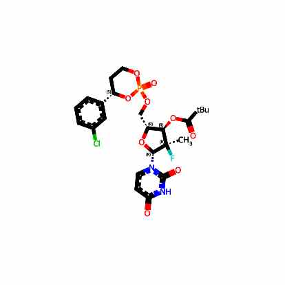 CC(C)(C)C(=O)O[C@@H]1[C@@H](COP2(=O)OCC[C@@H](c3cccc(Cl)c3)O2)O[C@@H](n2ccc(=O)[nH]c2=O)[C@]1(C)F